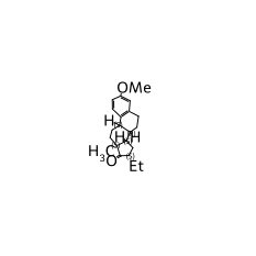 CC[C@H]1C[C@H]2[C@@H]3CCc4cc(OC)ccc4[C@H]3CC[C@]2(C)C1=O